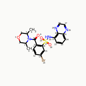 CC1COCC(C)N1C(=O)c1ccc(Br)cc1S(=O)(=O)Nc1cccc2nccnc12